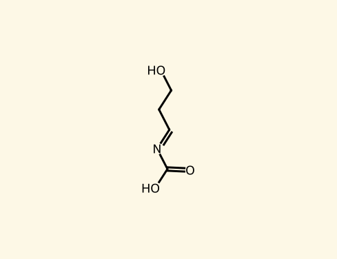 O=C(O)N=CCCO